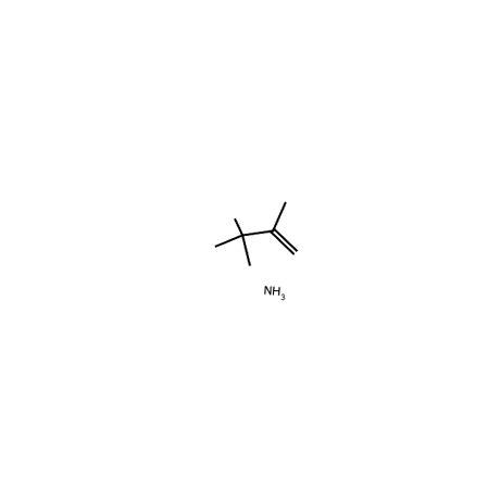 C=C(C)C(C)(C)C.N